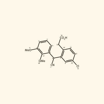 COc1cccc(C(C#N)c2cc(Cl)ccc2CC(=O)O)c1OC